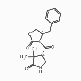 CC1(C)C(=O)NC[C@H]1C(=O)N1C(=O)OC[C@H]1Cc1ccccc1